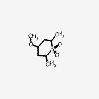 COC1CC(C)S(=O)(=O)C(C)C1